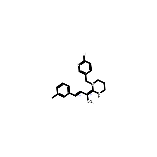 Cc1cccc(/C=C/C(=C2/NCCCN2Cc2ccc(Cl)nc2)[N+](=O)[O-])c1